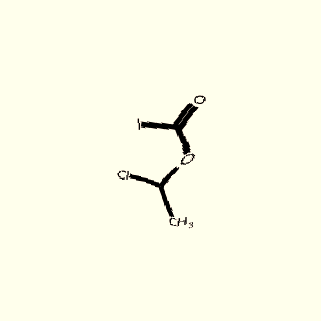 CC(Cl)OC(=O)I